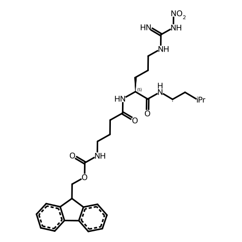 CC(C)C[CH]NC(=O)[C@H](CCCNC(=N)N[N+](=O)[O-])NC(=O)CCCNC(=O)OCC1c2ccccc2-c2ccccc21